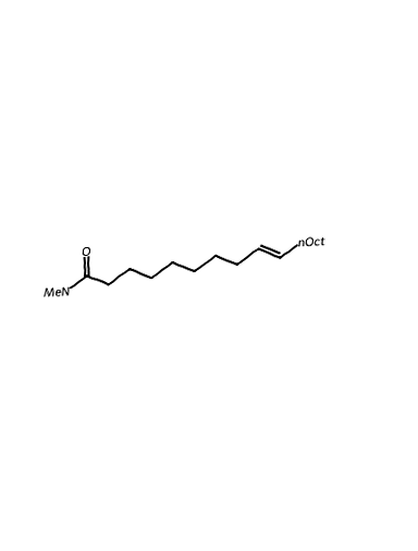 CCCCCCCC/C=C/CCCCCCCC(=O)NC